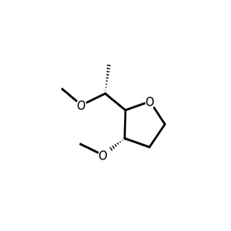 CO[C@H]1CCOC1[C@@H](C)OC